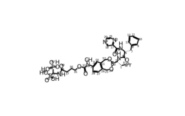 CC(C)C[C@@H](NC(=O)[C@@H](Cc1ccccc1)NC(=O)c1cnccn1)B1OCc2ccc(N(C)C(=O)OCCCC(=O)NC(P(=O)(O)O)P(=O)(O)O)cc2CO1